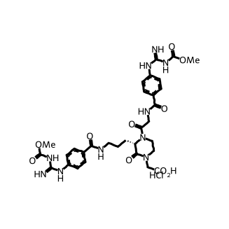 COC(=O)NC(=N)Nc1ccc(C(=O)NCCC[C@H]2C(=O)N(CC(=O)O)CCN2C(=O)CNC(=O)c2ccc(NC(=N)NC(=O)OC)cc2)cc1.Cl